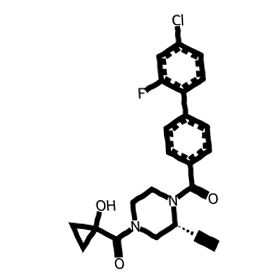 C#C[C@@H]1CN(C(=O)C2(O)CC2)CCN1C(=O)c1ccc(-c2ccc(Cl)cc2F)cc1